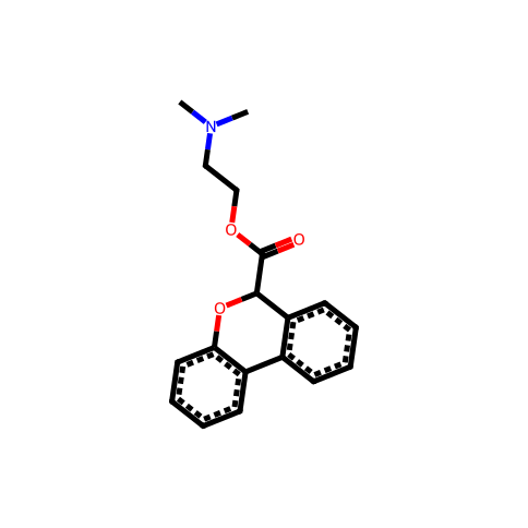 CN(C)CCOC(=O)C1Oc2ccccc2-c2ccccc21